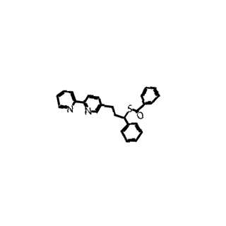 O=C(SC(CCc1ccc(-c2ccccn2)nc1)c1ccccc1)c1ccccc1